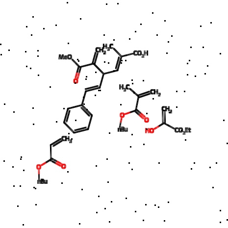 C=C(C(=O)OC)C(C=Cc1ccccc1)C=C(C)C(=O)O.C=C(C)C(=O)OCCCC.C=C(O)C(=O)OCC.C=CC(=O)OCCCC